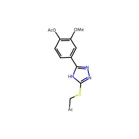 COc1cc(-c2nnc(SCC(C)=O)[nH]2)ccc1OC(C)=O